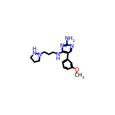 COc1cccc(-c2cnc(N)nc2NCCCN2CCCN2)c1